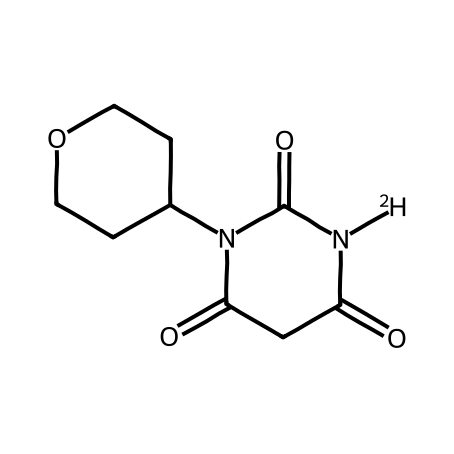 [2H]N1C(=O)CC(=O)N(C2CCOCC2)C1=O